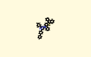 c1ccc(-c2ccc(-c3cc(-n4c5ccccc5c5c6sc(-c7ccccc7)c(-c7ccccc7)c6ccc54)nc(-c4ccccc4)n3)cc2)cc1